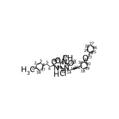 Cc1ccc(CCC(=O)Nc2c(Cl)n(CC#Cc3cccc(OCc4ccccc4)c3)c(=O)n(C)c2=O)cc1